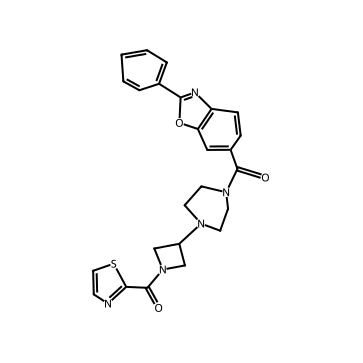 O=C(c1ccc2nc(-c3ccccc3)oc2c1)N1CCN(C2CN(C(=O)c3nccs3)C2)CC1